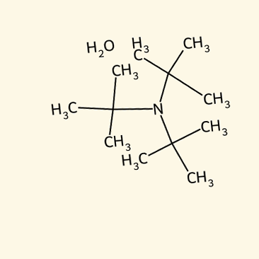 CC(C)(C)N(C(C)(C)C)C(C)(C)C.O